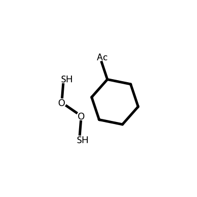 CC(=O)C1CCCCC1.SOOS